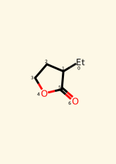 CCC1CCOC1=O